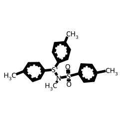 Cc1ccc([S+](c2ccc(C)cc2)N(C)S(=O)(=O)c2ccc(C)cc2)cc1